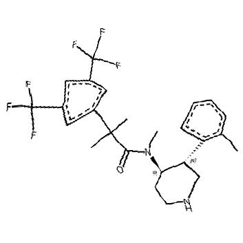 Cc1ccccc1[C@@H]1CNCC[C@H]1N(C)C(=O)C(C)(C)c1cc(C(F)(F)F)cc(C(F)(F)F)c1